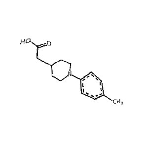 Cc1ccc(N2CCC(CC(=O)O)CC2)cc1